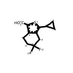 O=C(O)c1sc(C2CC2)c2c1CCC(F)(F)C2